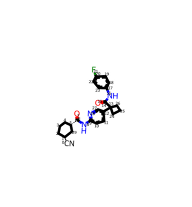 N#C[C@@H]1CCC[C@H](C(=O)Nc2ccc(C3(C(=O)Nc4ccc(F)cc4)CCC3)cn2)C1